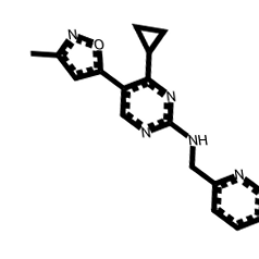 Cc1cc(-c2cnc(NCc3ccccn3)nc2C2CC2)on1